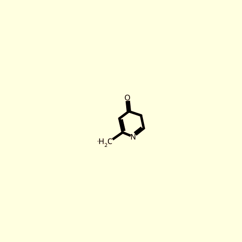 [CH2]C1=CC(=O)CC=N1